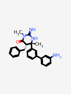 CN1C(=N)N[C@](C)(c2cccc(-c3cccc(N)c3)c2)[C@H](Cc2ccccc2)C1=O